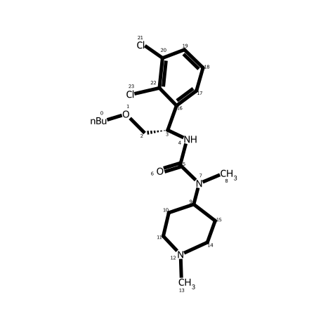 CCCCOC[C@@H](NC(=O)N(C)C1CCN(C)CC1)c1cccc(Cl)c1Cl